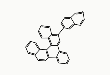 c1ccc2c(c1)ccc1c3ccccc3c3cc(-c4ccc5cnccc5c4)c4ccccc4c3c21